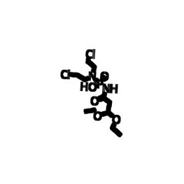 CCOC(CC(=O)NP(=O)(O)N(CCCl)CCCl)OCC